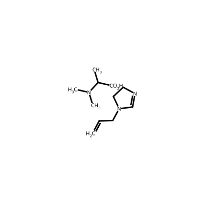 C=CCN1C=NCC1.CC(C(=O)O)N(C)C